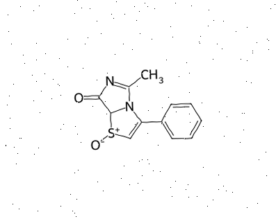 CC1=NC(=O)C2N1C(c1ccccc1)=C[S+]2[O-]